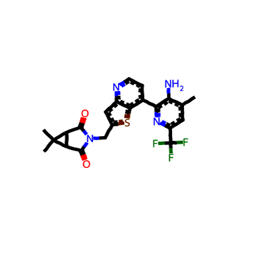 Cc1cc(C(F)(F)F)nc(-c2ccnc3cc(CN4C(=O)C5C(C4=O)C5(C)C)sc23)c1N